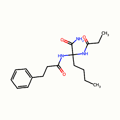 CCCCC(NC(=O)CC)(NC(=O)CCc1ccccc1)C(N)=O